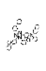 c1ccc(-c2cccc(-c3nc(-c4ccc5c(c4)oc4ccccc45)nc(-c4ccc(-n5c6ccccc6c6cc7ccccc7cc65)c5oc6ccccc6c45)n3)c2)cc1